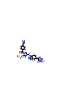 CC1CC(Cn2ncc3cc(-c4cn[nH]c4)ccc32)CN1C(=O)c1ccc(C#N)cc1